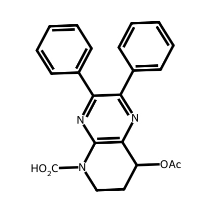 CC(=O)OC1CCN(C(=O)O)c2nc(-c3ccccc3)c(-c3ccccc3)nc21